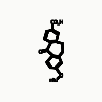 CCCCOc1ccc2c(c1)CCc1cc(C(=O)O)ccc1C2=O